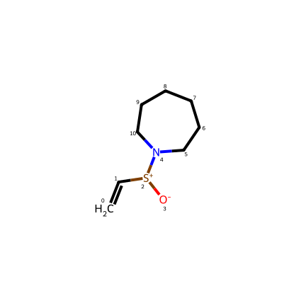 C=C[S+]([O-])N1CCCCCC1